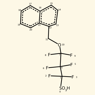 O=S(=O)(O)C(F)(F)C(F)(F)C(F)(F)OCc1cccc2ccccc12